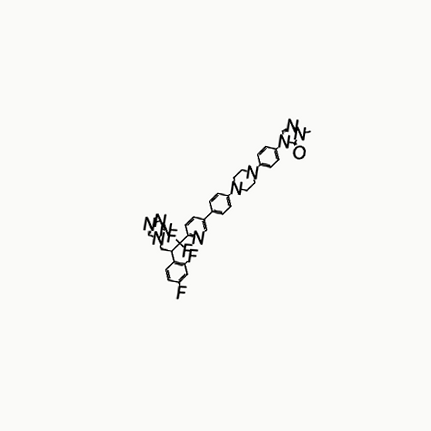 Cn1ncn(-c2ccc(N3CCN(c4ccc(-c5ccc(C(F)(F)[C@H](Cn6cnnn6)c6ccc(F)cc6F)nc5)cc4)CC3)cc2)c1=O